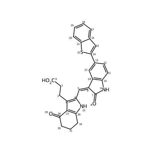 O=C(O)CCc1c(/C=C2\C(=O)Nc3ccc(-c4cc5ccccc5s4)cc32)[nH]c2c1C(=O)CCC2